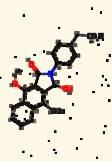 CC(C)COc1c2c(c(OC(C)C)c3ccccc13)C(=O)N(c1ccc(CC(=O)O)cc1)C2O